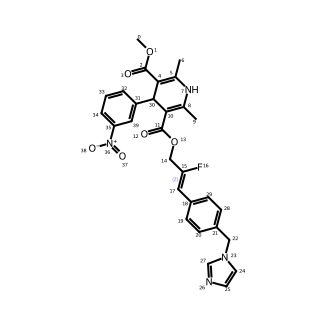 COC(=O)C1=C(C)NC(C)=C(C(=O)OC/C(F)=C/c2ccc(Cn3ccnc3)cc2)C1c1cccc([N+](=O)[O-])c1